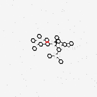 CC1(C)c2ccccc2-c2cc3c4ccccc4n(-c4ccc(-c5nc(-c6ccccc6)nc(-c6ccccc6)n5)cc4-c4cc(-c5ccccc5)nc(-c5ccc(-c6ccc7c8c6N(c6ccccc6)c6ccccc6B8c6ccccc6N7c6ccccc6)cc5)n4)c3cc21